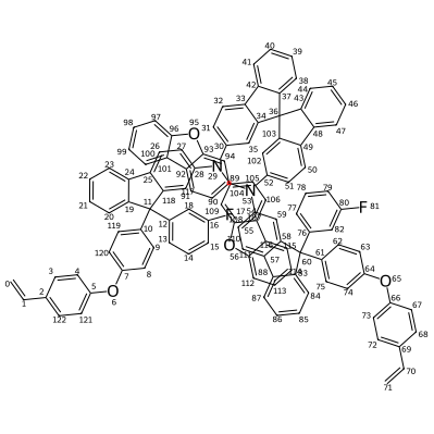 C=Cc1ccc(Oc2ccc(C3(c4cccc(F)c4)c4ccccc4-c4ccc(N(c5ccc6c(c5)C5(c7ccccc7-6)c6ccccc6-c6ccc(N(c7ccc8c(c7)C(c7ccc(Oc9ccc(C=C)cc9)cc7)(c7cccc(F)c7)c7ccccc7-8)c7ccc8c(c7)oc7ccccc78)cc65)c5ccc6c(c5)oc5ccccc56)cc43)cc2)cc1